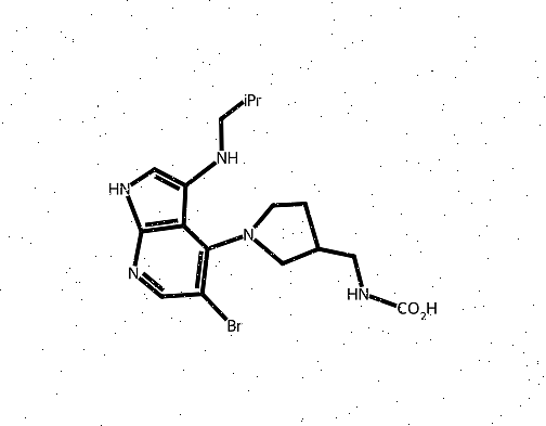 CC(C)CNc1c[nH]c2ncc(Br)c(N3CCC(CNC(=O)O)C3)c12